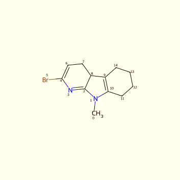 CN1C2=NC(Br)=CCC2C2=C1CCCC2